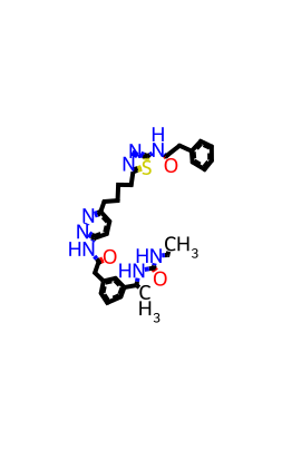 CCNC(=O)NC(C)c1cccc(CC(=O)Nc2ccc(CCCCc3nnc(NC(=O)Cc4ccccc4)s3)nn2)c1